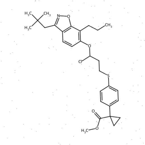 CCCc1c(OC(Cl)CCSc2ccc(C3(C(=O)OC)CC3)cc2)ccc2c(CC(C)(C)C)noc12